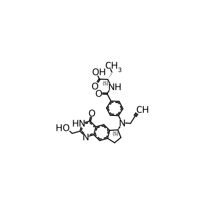 C#CCN(c1ccc(C(=O)N[C@@H](CC)C(=O)O)cc1)[C@H]1CCc2cc3nc(CO)[nH]c(=O)c3cc21